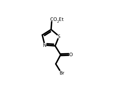 CCOC(=O)c1cnc(C(=O)CBr)s1